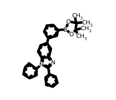 CC1(C)OB(c2cccc(-c3ccc4c(c3)nc(-c3ccccc3)n4-c3ccccc3)c2)OC1(C)C